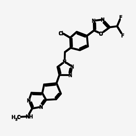 CNc1ncc2cc(-c3cn(Cc4ccc(-c5nnc(C(F)F)o5)cc4Cl)nn3)ccc2n1